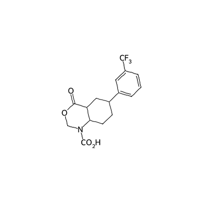 O=C1OCN(C(=O)O)C2CCC(c3cccc(C(F)(F)F)c3)CC12